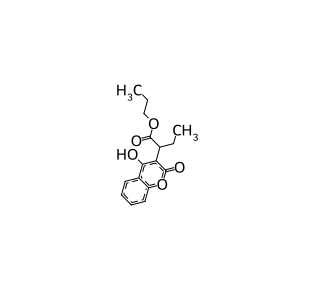 CCCOC(=O)C(CC)c1c(O)c2ccccc2oc1=O